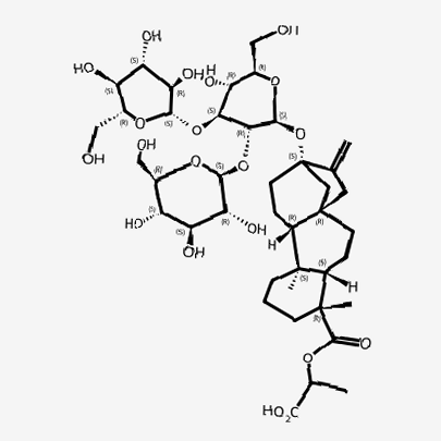 C=C1C[C@@]23CC[C@H]4[C@@](C)(CCC[C@@]4(C)C(=O)OC(C)C(=O)O)[C@@H]2CC[C@]1(O[C@@H]1O[C@H](CO)[C@@H](O)[C@H](O[C@@H]2O[C@H](CO)[C@@H](O)[C@H](O)[C@H]2O)[C@H]1O[C@@H]1O[C@H](CO)[C@@H](O)[C@H](O)[C@H]1O)C3